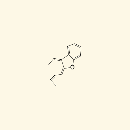 C\C=C/C=c1/oc2ccccc2/c1=C/C